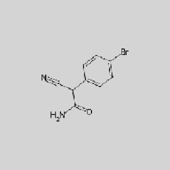 N#CC(C(N)=O)c1ccc(Br)cc1